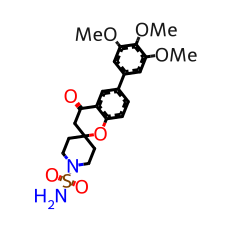 COc1cc(-c2ccc3c(c2)C(=O)CC2(CCN(S(N)(=O)=O)CC2)O3)cc(OC)c1OC